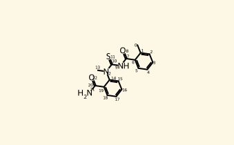 Cc1ccccc1C(=O)NC(=S)N(C)c1ccccc1C(N)=O